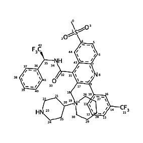 CS(=O)(=O)c1ccc2nc(-c3cccc(C(F)(F)F)c3)c(C[N+]3(C4CCNCC4)CCCCC3)c(C(=O)N[C@@H](c3ccccc3)C(F)(F)F)c2c1